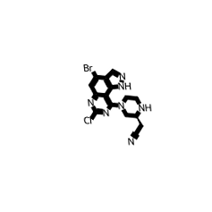 N#CC[C@H]1CN(c2nc(Cl)nc3cc(Br)c4cn[nH]c4c23)CCN1